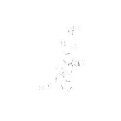 CCN1CCCN(Cc2cc(S(=O)(=O)n3cc(C)c4ccccc43)ccc2Cl)CC1.Cl.Cl